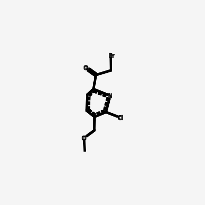 COCc1ccc(C(=O)CBr)nc1Cl